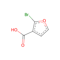 O=C(O)c1ccoc1Br